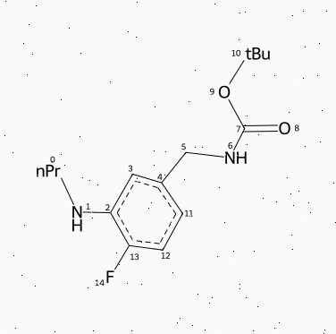 CCCNc1cc(CNC(=O)OC(C)(C)C)ccc1F